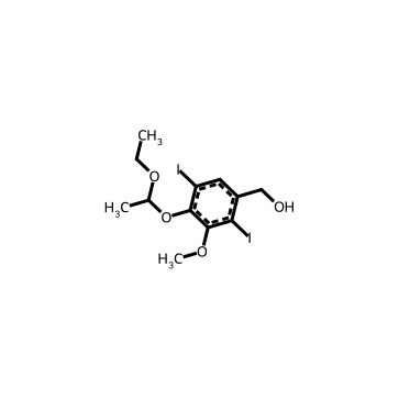 CCOC(C)Oc1c(I)cc(CO)c(I)c1OC